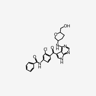 O=C(Nc1ccc(C(=O)c2c[nH]c3ncnc(NC4CCC(CO)OC4)c23)c(Cl)c1)c1ccccc1